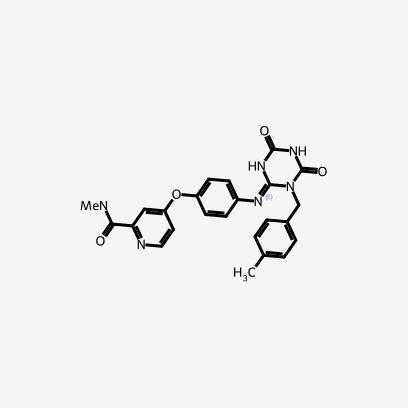 CNC(=O)c1cc(Oc2ccc(/N=c3\[nH]c(=O)[nH]c(=O)n3Cc3ccc(C)cc3)cc2)ccn1